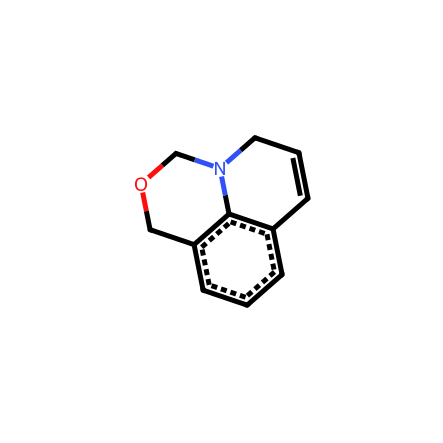 C1=Cc2cccc3c2N(C1)COC3